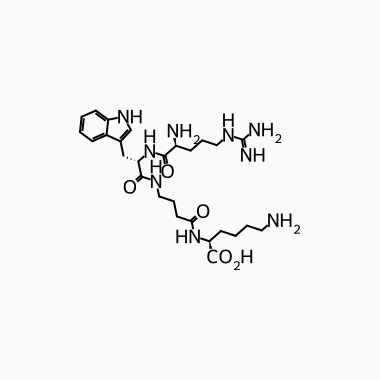 N=C(N)NCCC[C@H](N)C(=O)N[C@@H](Cc1c[nH]c2ccccc12)C(=O)NCCCC(=O)N[C@@H](CCCCN)C(=O)O